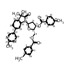 Cc1ccc(C(=O)OC[C@@H]2OC(N3C(=O)C(C)(C)c4ccc(-c5cnc(C)nc5)cc43)C[C@@H]2OC(=O)c2ccc(C)cc2)cc1